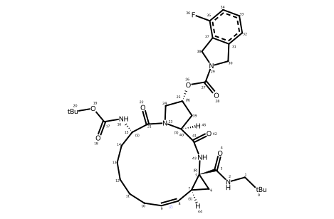 CC(C)(C)CNC(=O)[C@@]12C[C@H]1/C=C\CCCCC[C@H](NC(=O)OC(C)(C)C)C(=O)N1C[C@H](OC(=O)N3Cc4cccc(F)c4C3)C[C@H]1C(=O)N2